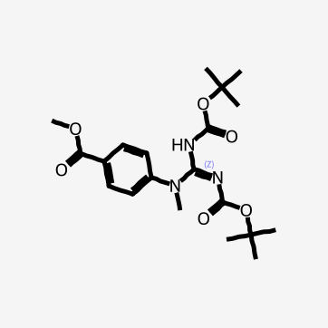 COC(=O)c1ccc(N(C)/C(=N\C(=O)OC(C)(C)C)NC(=O)OC(C)(C)C)cc1